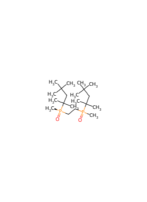 CC(C)(C)CC(C)(C)P(C)(=O)CC[P@](C)(=O)C(C)(C)CC(C)(C)C